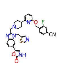 N#Cc1ccc(COc2cccc(C3CCN(Cc4nc5ccc(-c6c[nH]c(=O)o6)cc5n4Cc4cncs4)CC3)n2)c(F)c1